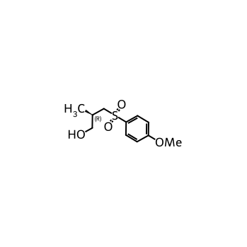 COc1ccc(S(=O)(=O)C[C@H](C)CO)cc1